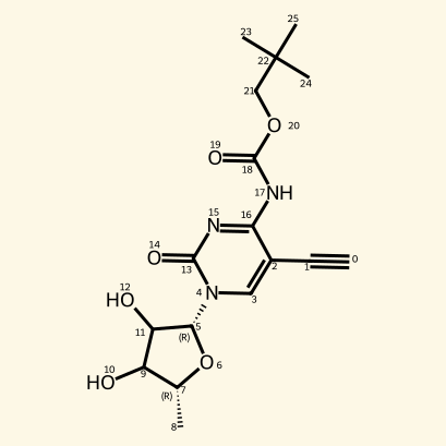 C#Cc1cn([C@@H]2O[C@H](C)C(O)C2O)c(=O)nc1NC(=O)OCC(C)(C)C